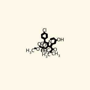 CCOC(=O)C(C)(C)Cc1c(C(=O)C(C)(C)C)c2cc(O)ccn2c1C(=O)c1ccc(Cl)cc1